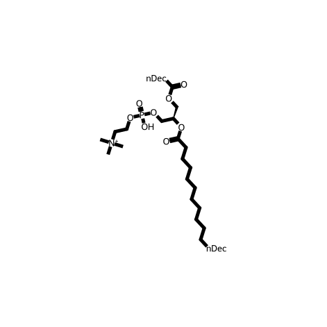 CCCCCCCCCCCCCCCCCCCCC(=O)O[C@H](COC(=O)CCCCCCCCCC)COP(=O)(O)OCC[N+](C)(C)C